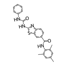 Cc1cc(C)c(NC(=O)c2ccc3nc(NC(=O)Nc4ccccc4)sc3c2)c(C)c1